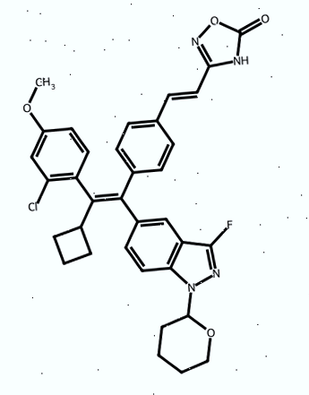 COc1ccc(/C(=C(\c2ccc(/C=C/c3noc(=O)[nH]3)cc2)c2ccc3c(c2)c(F)nn3C2CCCCO2)C2CCC2)c(Cl)c1